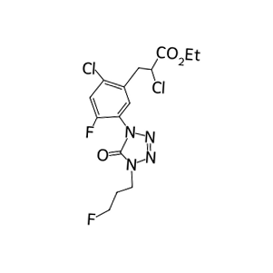 CCOC(=O)C(Cl)Cc1cc(-n2nnn(CCCF)c2=O)c(F)cc1Cl